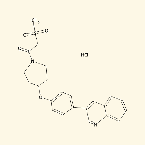 CS(=O)(=O)CC(=O)N1CCC(Oc2ccc(-c3cnc4ccccc4c3)cc2)CC1.Cl